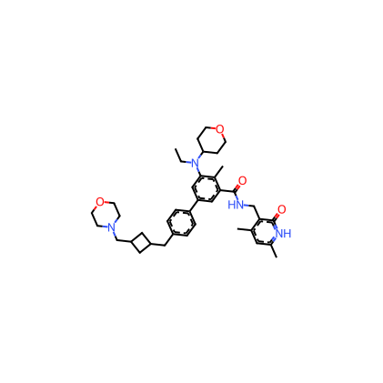 CCN(c1cc(-c2ccc(CC3CC(CN4CCOCC4)C3)cc2)cc(C(=O)NCc2c(C)cc(C)[nH]c2=O)c1C)C1CCOCC1